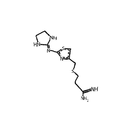 N=C(N)CCSCc1csc(N=C2NCCN2)n1